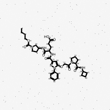 CCCCOC(=O)N1CCC(NC(=O)C(CCC(=O)O)NC(=O)c2cc(OCC(=O)N3CCCC3C(=O)NC3CCC3)n(-c3ccccc3)n2)C1